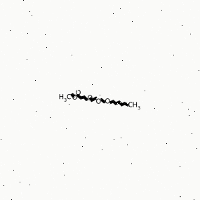 CCCCCCCCOCCOCCOCCCC(=O)OCC